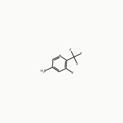 Bc1cnc(C(F)(F)F)c(F)c1